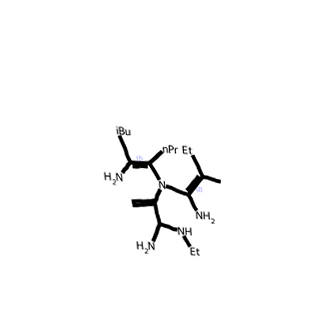 C=C(C(N)NCC)N(/C(N)=C(/C)CC)/C(CCC)=C(\N)C(C)CC